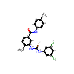 COc1ccc(C(=O)Nc2ccc(C)cc2)cc1NC(=S)Nc1cc(Cl)cc(Cl)c1